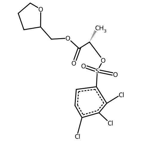 C[C@H](OS(=O)(=O)c1ccc(Cl)c(Cl)c1Cl)C(=O)OCC1CCCO1